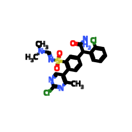 Cc1nc(Cl)ncc1-c1ccc(C(C(N)=O)c2ccccc2Cl)cc1S(=O)(=O)N=CN(C)C